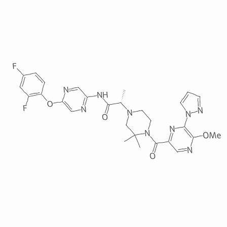 COc1ncc(C(=O)N2CCN([C@@H](C)C(=O)Nc3cnc(Oc4ccc(F)cc4F)cn3)CC2(C)C)nc1-n1cccn1